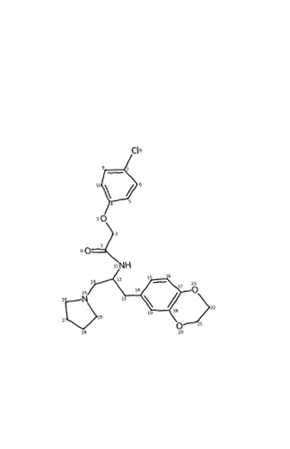 O=C(COc1ccc(Cl)cc1)NC(Cc1ccc2c(c1)OCCO2)CN1CCCC1